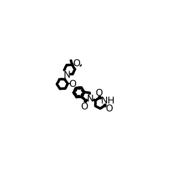 COC1(C)CCN([C@H]2CCCC[C@@H]2Oc2ccc3c(c2)CN(C2CCC(=O)NC2=O)C3=O)CC1